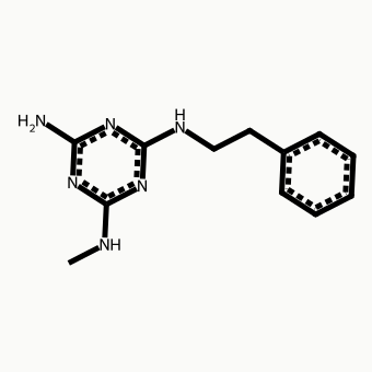 CNc1nc(N)nc(NCCc2ccccc2)n1